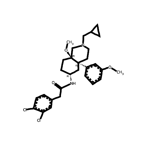 COc1cccc([C@@]23CCN(CC4CC4)C[C@@]2(OC)CC[C@@H](NC(=O)Cc2ccc(Cl)c(Cl)c2)C3)c1